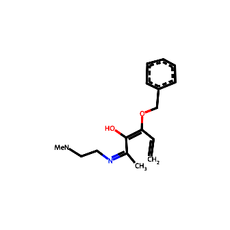 C=C/C(OCc1ccccc1)=C(O)\C(C)=N/CCNC